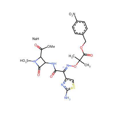 COC(=O)C1C(NC(=O)/C(=N/OC(C)(C)C(=O)OCc2ccc([N+](=O)[O-])cc2)c2csc(N)n2)C(=O)N1S(=O)(=O)O.[NaH]